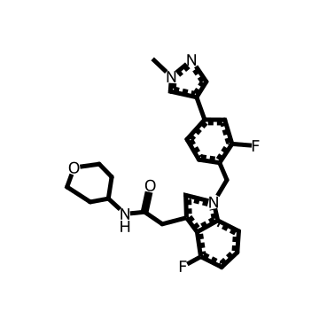 Cn1cc(-c2ccc(Cn3cc(CC(=O)NC4CCOCC4)c4c(F)cccc43)c(F)c2)cn1